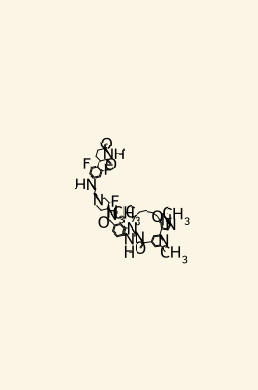 Cc1cc2cc(n1)-c1cnn(C)c1OCCC[C@@H](C)CN1/C(=N/C2=O)Nc2ccc(C(=O)N(C)[C@H]3CCN(CCNc4cc(F)c([C@H]5CCC(=O)NC5=O)c(F)c4)C[C@@H]3F)cc21